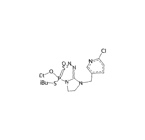 CCOP(=S)(SC(C)CC)N1CCN(Cc2ccc(Cl)nc2)C1=N[N+](=O)[O-]